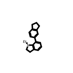 CCN1CCc2cccc(-c3ccc4c(c3)CCC4)c21